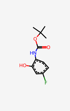 CC(C)(C)OC(=O)Nc1ccc(F)cc1O